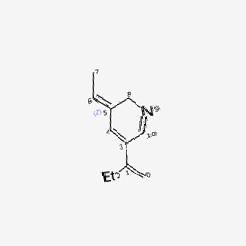 C=C(CC)C1=C/C(=C/C)CN=C1